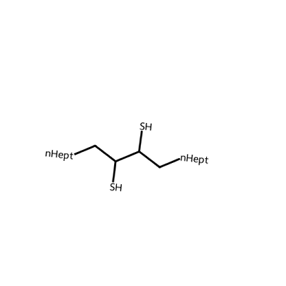 CCCCCCCCC(S)C(S)CCCCCCCC